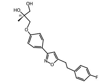 C[C@@](O)(CO)COc1ccc(-c2cc(CCc3ccc(F)cc3)on2)cc1